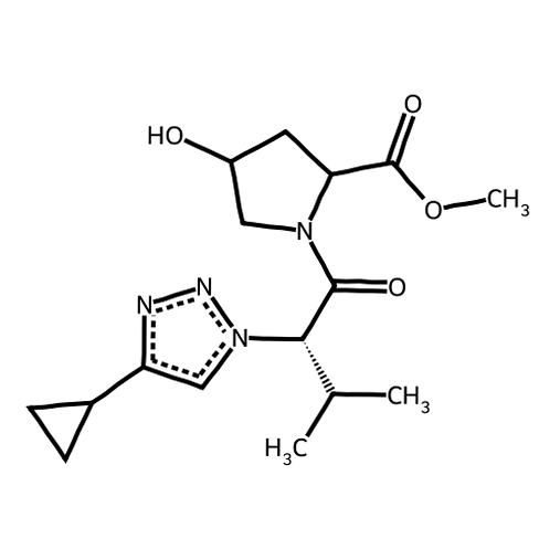 COC(=O)C1CC(O)CN1C(=O)[C@H](C(C)C)n1cc(C2CC2)nn1